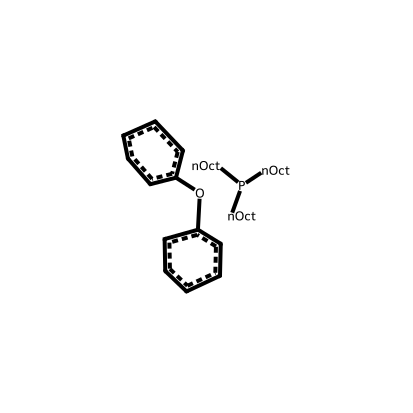 CCCCCCCCP(CCCCCCCC)CCCCCCCC.c1ccc(Oc2ccccc2)cc1